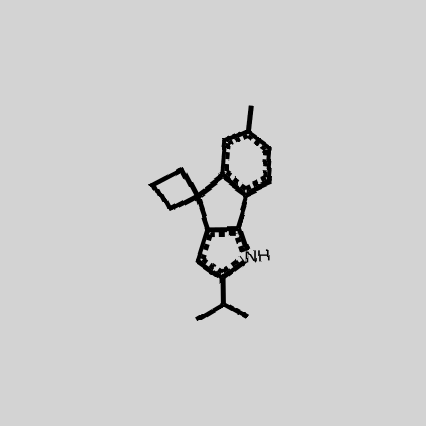 Cc1ccc2c(c1)C1(CCC1)c1cc(C(C)C)[nH]c1-2